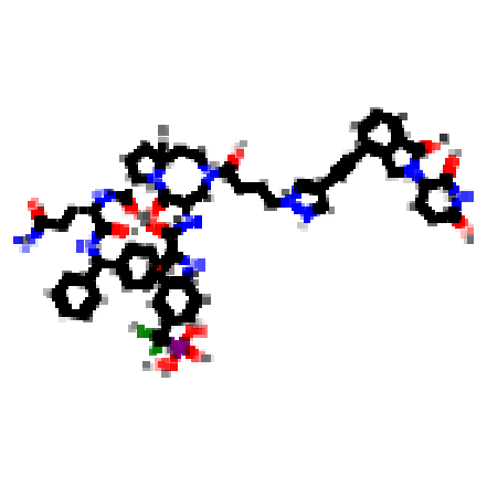 NC(=O)CC[C@H](NC(=O)[C@@H]1CC[C@@H]2CCN(C(=O)CCCn3cc(C#Cc4cccc5c4CN(C4CCC(=O)NC4=O)C5=O)cn3)C[C@H](NC(=O)c3cc4cc(C(F)(F)P(=O)(O)O)ccc4[nH]3)C(=O)N21)C(=O)NC(c1ccccc1)c1ccccc1